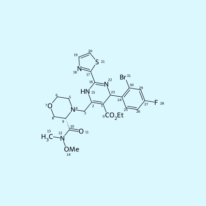 CCOC(=O)C1=C(CN2CCOC[C@H]2C(=O)N(C)OC)NC(c2nccs2)=NC1c1ccc(F)cc1Br